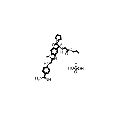 CCCOC(=O)CN[C@@](C)(C(=O)N1CCCC1)c1ccc2c(c1)nc(CNc1ccc(C(=N)N)cc1)n2C.O=S(=O)(O)O